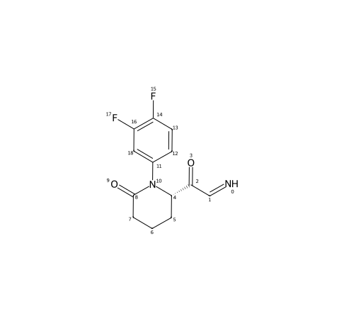 N=CC(=O)[C@@H]1CCCC(=O)N1c1ccc(F)c(F)c1